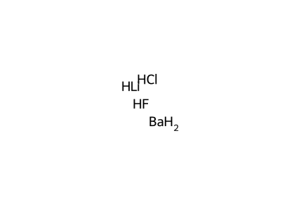 Cl.F.[BaH2].[LiH]